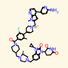 Cc1cc(C(=O)N2CCC(CN3CCN(Cc4ccc5c(c4)n(C4CC4)c(=O)n5C4CCC(=O)NC4=O)C[C@@H]3C)CC2)cc(F)c1C1=CCN([C@@H](C)c2cc3c(-c4ccc(N)nc4)ccnc3n2C)CC1